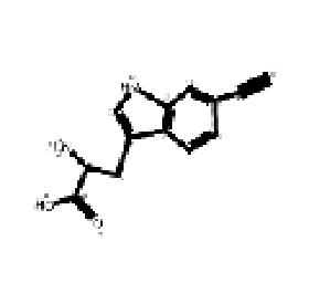 C#Cc1ccc2c(CC(N)C(=O)O)c[nH]c2c1